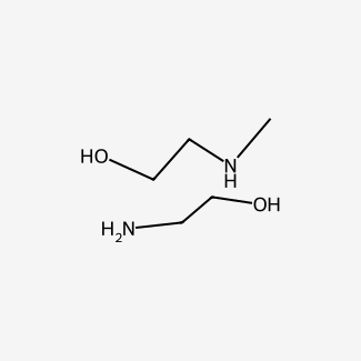 CNCCO.NCCO